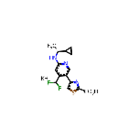 O=C(O)c1nc(-c2cnc(N[C@@H](C3CC3)C(F)(F)F)cc2C(F)F)cs1.[KH]